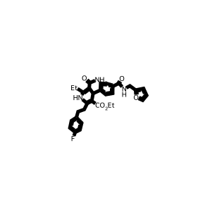 CCOC(=O)C1=C(CCc2ccc(F)cc2)NC(CC)=C(C(N)=O)C1c1ccc(C(=O)NCc2ccco2)cc1